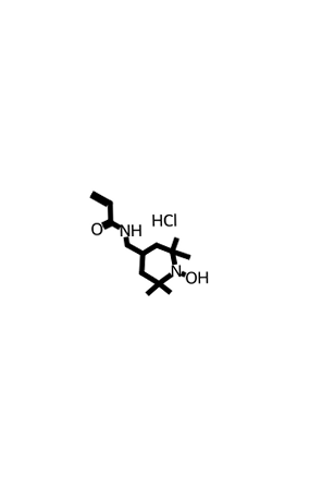 C=CC(=O)NCC1CC(C)(C)N(O)C(C)(C)C1.Cl